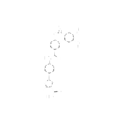 COc1cc(-c2cccc(C(=O)Nc3ccc(-c4cc(C(=O)O)c(C)o4)cc3)c2)c([N+](=O)[O-])cc1OC